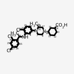 C[C@@H](Nc1cc(N2CCN([C@H]3CCCC(C(=O)O)C3)C[C@@H]2C)ccc1Cl)c1ccc(Cl)cc1Cl